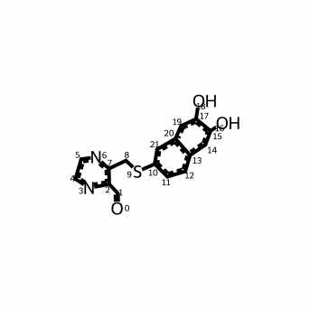 O=Cc1nccnc1CSc1ccc2cc(O)c(O)cc2c1